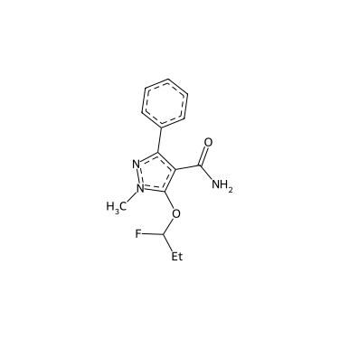 CCC(F)Oc1c(C(N)=O)c(-c2ccccc2)nn1C